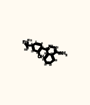 Nc1nnc(-c2ccc(C(F)(F)F)cc2O)c2ccccc12